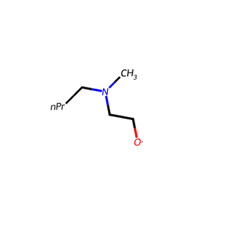 CCCCN(C)CC[O]